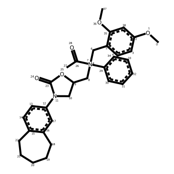 COc1ccc(C[N+](CC2CN(c3ccc4c(c3)CCCCC4)C(=O)O2)(C(C)=O)c2ccccc2)c(OC)c1